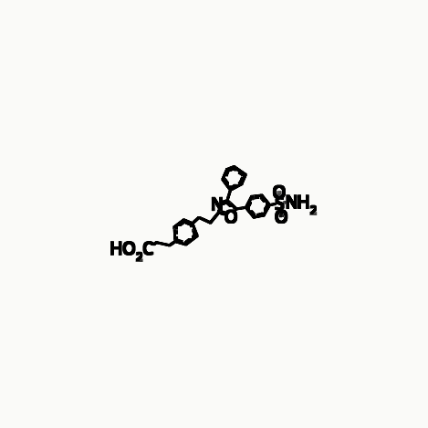 NS(=O)(=O)c1ccc(-c2oc(CCc3ccc(CCC(=O)O)cc3)nc2-c2ccccc2)cc1